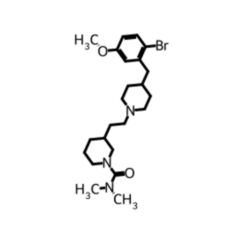 COc1ccc(Br)c(CC2CCN(CCC3CCCN(C(=O)N(C)C)C3)CC2)c1